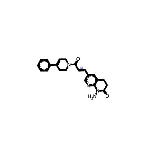 NN1C(=O)CCc2cc(/C=C/C(=O)N3CC=C(c4ccccc4)CC3)cnc21